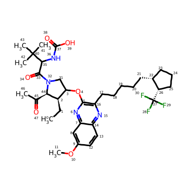 CC[C@@H]1C(Oc2nc3cc(OC)ccc3nc2CCCCC[C@@H]2CCC[C@@H]2C(F)(F)F)CN(C(=O)C(NC(=O)O)C(C)(C)C)[C@@H]1C(C)=O